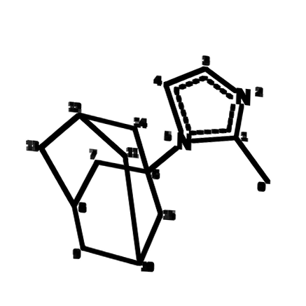 Cc1nccn1C12CC3CC(CC(C3)C1)C2